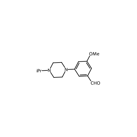 COc1cc(C=O)cc(N2CCN(C(C)C)CC2)c1